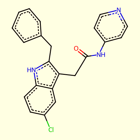 O=C(Cc1c(Cc2ccccc2)[nH]c2ccc(Cl)cc12)Nc1ccncc1